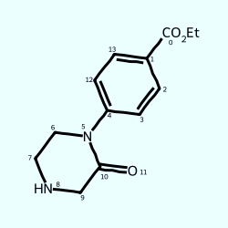 CCOC(=O)c1ccc(N2CCNCC2=O)cc1